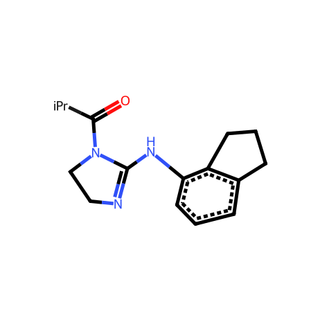 CC(C)C(=O)N1CCN=C1Nc1cccc2c1CCC2